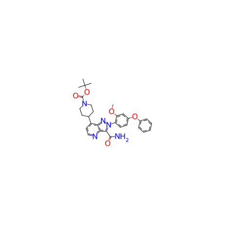 COc1cc(Oc2ccccc2)ccc1-n1nc2c(C3CCN(C(=O)OC(C)(C)C)CC3)ccnc2c1C(N)=O